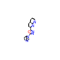 c1cnc2nc(-c3nnc(N4CCN5CCC4CC5)o3)ccc2c1